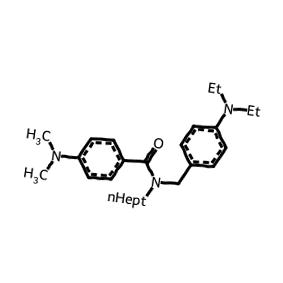 CCCCCCCN(Cc1ccc(N(CC)CC)cc1)C(=O)c1ccc(N(C)C)cc1